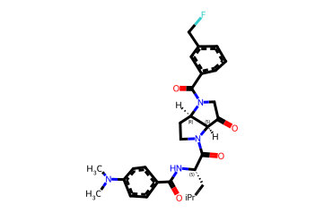 CC(C)C[C@H](NC(=O)c1ccc(N(C)C)cc1)C(=O)N1CC[C@@H]2[C@H]1C(=O)CN2C(=O)c1cccc(CF)c1